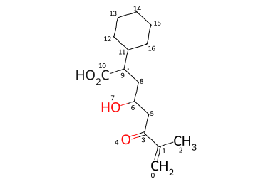 C=C(C)C(=O)CC(O)C[C](C(=O)O)C1CCCCC1